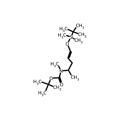 CC(CC=CO[Si](C)(C)C(C)(C)C)N(C)C(=O)OC(C)(C)C